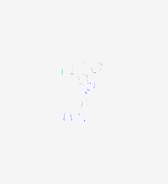 NC/C=C(\F)Cn1cnc2c(-c3c[c]ccc3F)cc(C(F)(F)F)cc21